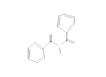 CCCCN(C(=O)c1ccccc1)C(=O)c1ccccc1